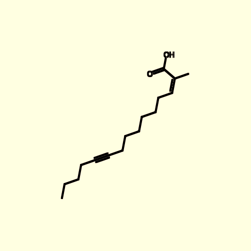 CCCCC#CCCCCCCC=C(C)C(=O)O